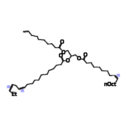 C=CCCCCCCCC(=O)OCC(COC(=O)CCCCCCC/C=C\CCCCCCCC)OC(=O)CCCCCCCCCC/C=C\C/C=C\CC